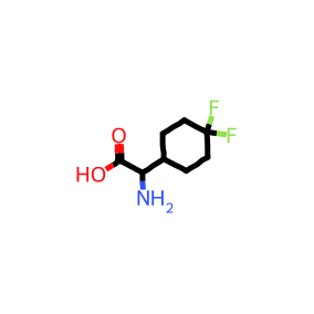 NC(C(=O)O)C1CCC(F)(F)CC1